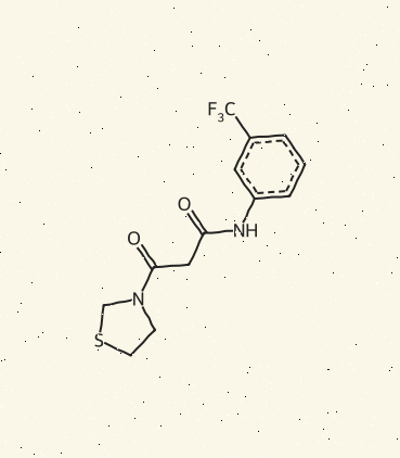 O=C(CC(=O)N1CCSC1)Nc1cccc(C(F)(F)F)c1